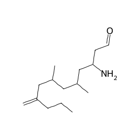 C=C(CCC)CC(C)CC(C)CC(N)CC=O